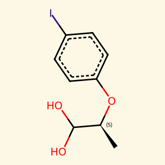 C[C@H](Oc1ccc(I)cc1)C(O)O